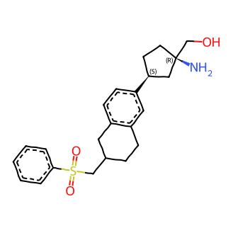 N[C@]1(CO)CC[C@H](c2ccc3c(c2)CCC(CS(=O)(=O)c2ccccc2)C3)C1